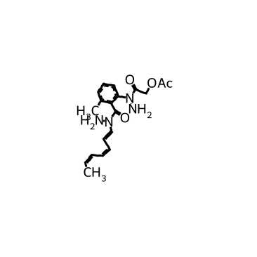 C\C=C/C=C\C=C\N(N)C(=O)c1c(C)cccc1N(N)C(=O)COC(C)=O